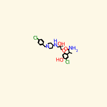 CC(C(N)=O)c1cc(Cl)c(O)cc1OC[C@@](C)(O)CNC1CCN(Cc2ccc(Cl)cc2)CC1